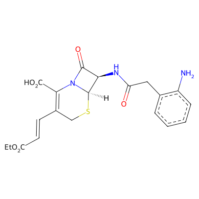 CCOC(=O)/C=C/C1=C(C(=O)O)N2C(=O)[C@@H](NC(=O)Cc3ccccc3N)[C@H]2SC1